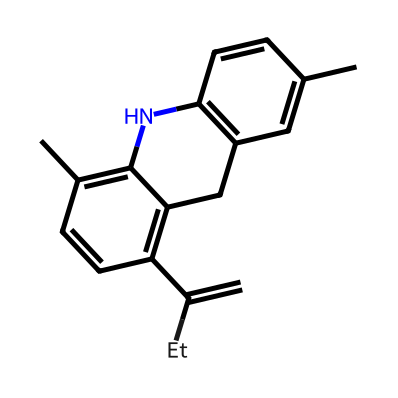 C=C(CC)c1ccc(C)c2c1Cc1cc(C)ccc1N2